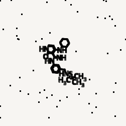 CC(C)(C)SNCc1cccc(NC(=N)c2c(NC3CCCCC3)cc[nH]c2=O)c1